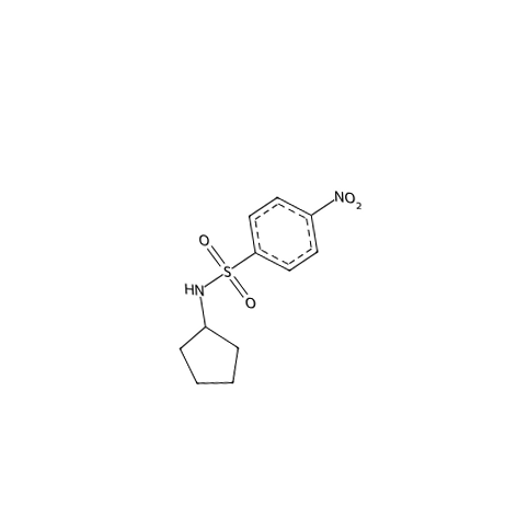 O=[N+]([O-])c1ccc(S(=O)(=O)NC2CCCC2)cc1